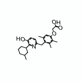 Cc1cc(OCC(=O)O)c(C)c(C)c1Cc1ccc(O)c(C2CCCC(C)C2)n1